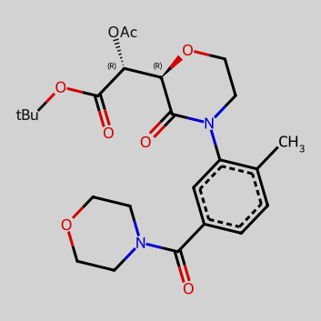 CC(=O)O[C@@H](C(=O)OC(C)(C)C)[C@H]1OCCN(c2cc(C(=O)N3CCOCC3)ccc2C)C1=O